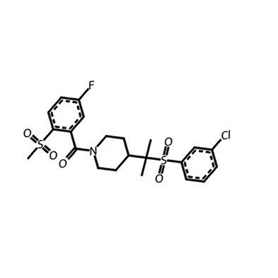 CC(C)(C1CCN(C(=O)c2cc(F)ccc2S(C)(=O)=O)CC1)S(=O)(=O)c1cccc(Cl)c1